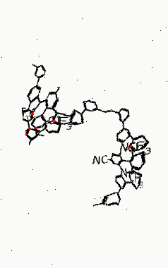 Cc1cccc(-c2ccc3c(c2)C(c2cc(C)cc(C4c5cc(-c6cccc(C)c6)ccc5-c5ccc(-c6cccc(CCc7cccc(-c8ccc9c(c8)c8ccccc8n9-c8cc(C#N)cc(-n9c%10ccccc%10c%10cc(-c%11cccc(C)c%11)ccc%109)c8-c8c(C(F)(F)F)cccc8C(F)(F)F)c7)c6)cc54)c2-c2c(C(F)(F)F)cccc2C(F)(F)F)c2cc(-c4cccc(C)c4)ccc2-3)c1